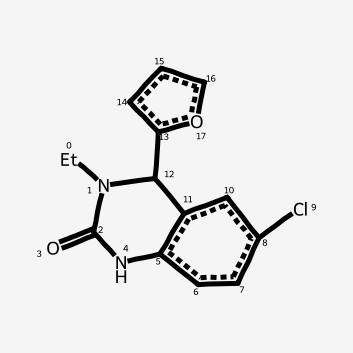 CCN1C(=O)Nc2ccc(Cl)cc2C1c1ccco1